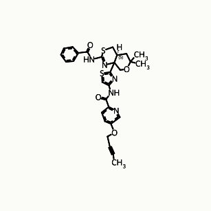 CC#CCOc1ccc(C(=O)Nc2csc(C34COC(C)(C)C[C@@H]3CSC(NC(=O)c3ccccc3)=N4)n2)nc1